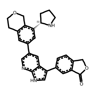 O=C1OCc2ccc(-c3c[nH]c4ncc(-c5cc6c(c([C@@H]7CCCN7)c5)COCC6)cc34)cc21